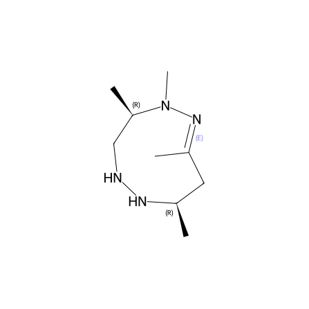 C/C1=N\N(C)[C@H](C)CNN[C@H](C)C1